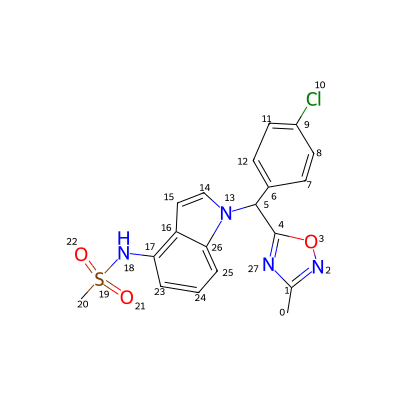 Cc1noc(C(c2ccc(Cl)cc2)n2ccc3c(NS(C)(=O)=O)cccc32)n1